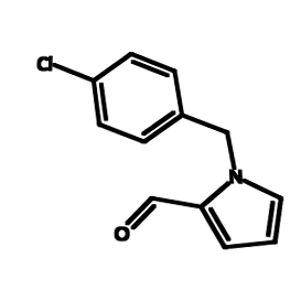 O=Cc1cccn1Cc1ccc(Cl)cc1